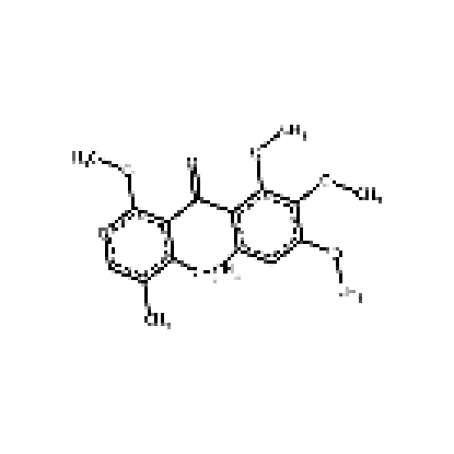 COc1cc(C)c(C(=O)c2c(OC)ncc(C)c2C)c(OC)c1OC